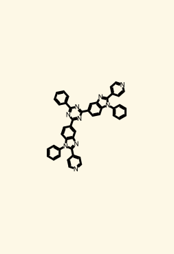 c1ccc(-c2nc(-c3ccc4c(c3)nc(-c3ccncc3)n4-c3ccccc3)nc(-c3ccc4c(c3)nc(-c3ccncc3)n4-c3ccccc3)n2)cc1